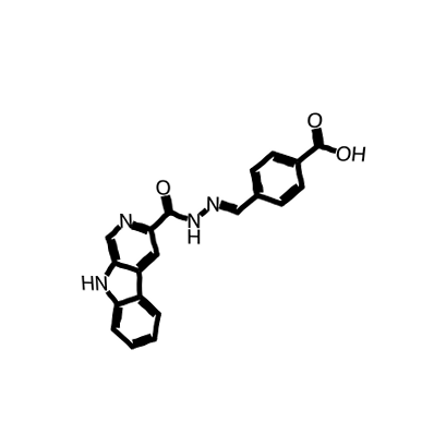 O=C(O)c1ccc(C=NNC(=O)c2cc3c(cn2)[nH]c2ccccc23)cc1